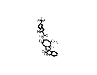 CC1C[C@@H]2C[C@@]3(CC2CC(=O)[C@@H](NC(=O)c2cc4cc(C(F)(F)F)ccc4[nH]2)C1)C(=O)Nc1ccccc13